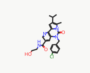 Cc1c(C(C)C)cc2c3ncc(C(=O)NCCO)cc3n(Cc3ccc(Cl)cc3)c(=O)n12